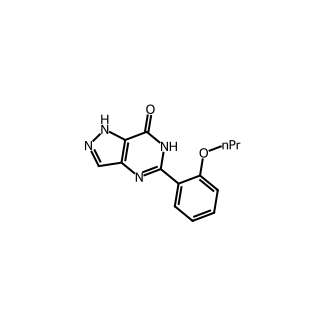 CCCOc1ccccc1-c1nc2cn[nH]c2c(=O)[nH]1